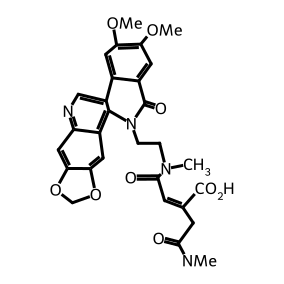 CNC(=O)C/C(=C/C(=O)N(C)CCn1c(=O)c2cc(OC)c(OC)cc2c2cnc3cc4c(cc3c21)OCO4)C(=O)O